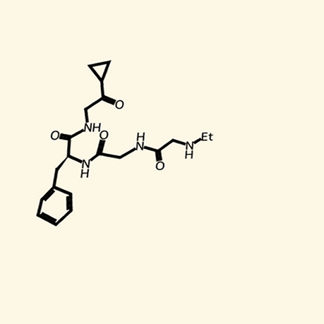 CCNCC(=O)NCC(=O)N[C@@H](Cc1ccccc1)C(=O)NCC(=O)C1CC1